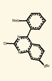 CSc1ccccc1-c1nc(Cl)nc2cc(C(C)(C)C)ccc12